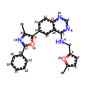 Cc1ccc(CNc2ncnc3ccc(-c4oc(-c5ccccc5)nc4C)cc23)o1